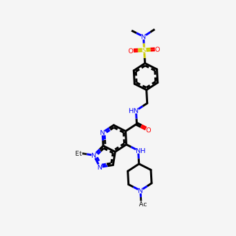 CCn1ncc2c(NC3CCN(C(C)=O)CC3)c(C(=O)NCc3ccc(S(=O)(=O)N(C)C)cc3)cnc21